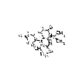 CSc1nc(-c2ccc(F)cc2C)c2ccc(=O)n(C(C)C)c2n1